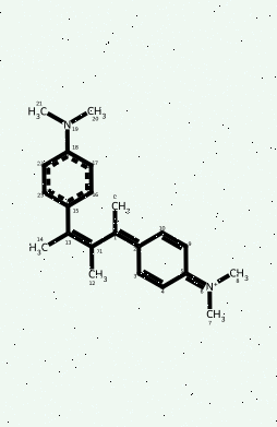 CC(=C1C=CC(=[N+](C)C)C=C1)/C(C)=C(/C)c1ccc(N(C)C)cc1